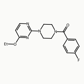 CCOc1ccnc(N2CCN(C(=O)c3ccc(F)cc3)CC2)n1